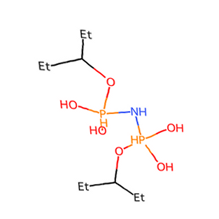 CCC(CC)O[PH](O)(O)N[PH](O)(O)OC(CC)CC